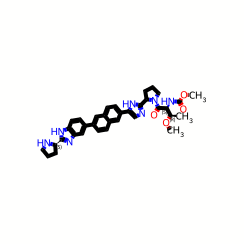 COC(=O)N[C@H](C(=O)N1CCCC1c1ncc(-c2ccc3cc(-c4ccc5[nH]c([C@@H]6CCCN6)nc5c4)ccc3c2)[nH]1)[C@@H](C)OC